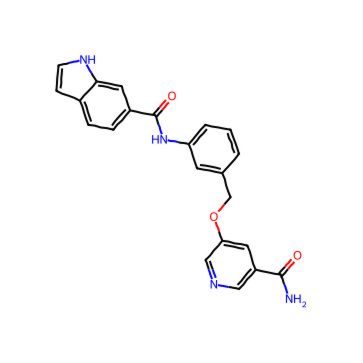 NC(=O)c1cncc(OCc2cccc(NC(=O)c3ccc4cc[nH]c4c3)c2)c1